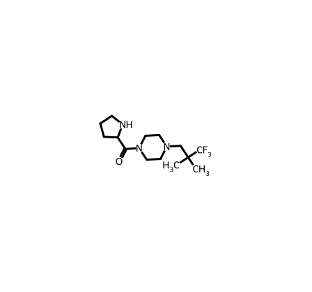 CC(C)(CN1CCN(C(=O)C2CCCN2)CC1)C(F)(F)F